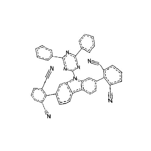 N#Cc1cccc(C#N)c1-c1ccc2c3ccc(-c4c(C#N)cccc4C#N)cc3n(-c3nc(-c4ccccc4)nc(-c4ccccc4)n3)c2c1